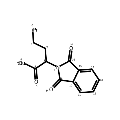 CC(C)CCC(C(=O)C(C)(C)C)N1C(=O)c2ccccc2C1=O